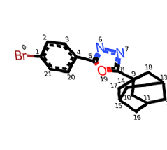 Brc1ccc(-c2nnc(C34CC5CC(CC(C5)C3)C4)o2)cc1